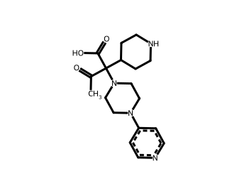 CC(=O)C(C(=O)O)(C1CCNCC1)N1CCN(c2ccncc2)CC1